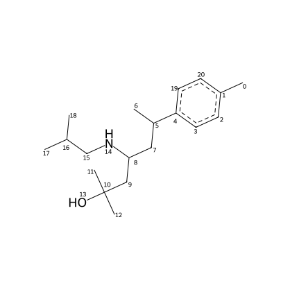 Cc1ccc(C(C)CC(CC(C)(C)O)NCC(C)C)cc1